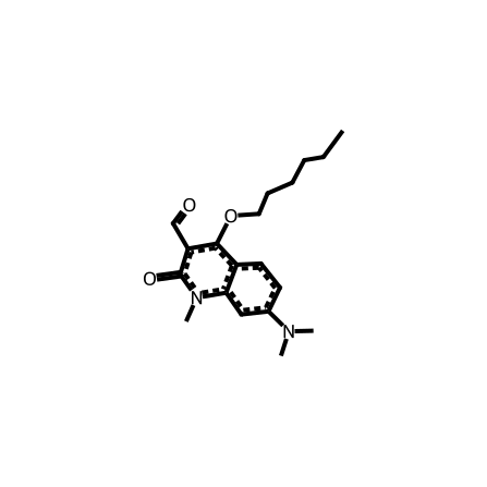 CCCCCCOc1c(C=O)c(=O)n(C)c2cc(N(C)C)ccc12